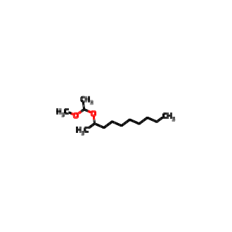 CCCCCCCCC(C)OC(C)OC